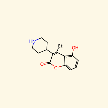 CCc1c(C2CCNCC2)c(=O)oc2cccc(O)c12